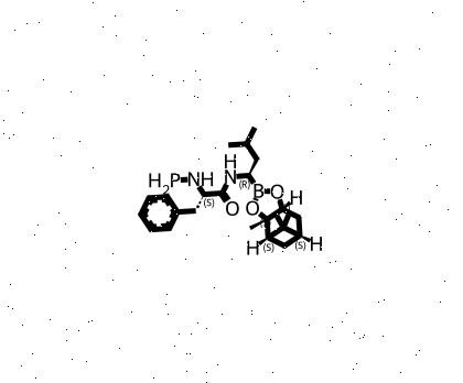 CC(C)C[C@H](NC(=O)[C@H](Cc1ccccc1)NP)B1O[C@@H]2C[C@@H]3C[C@@H](C3(C)C)[C@]2(C)O1